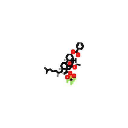 CCOC(=O)C[C@@]12C(OS(=O)(=O)C(F)(F)F)=C[C@H]([C@H](C)CCCC(C)C)[C@@]1(C)CCC1=C2CC[C@H]2C[C@@H](OC(=O)c3ccccc3)CC[C@]12C